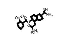 Cl.N=C(N)c1ccc2c(CC(N)=O)c(OC(=O)c3ccccc3[N+](=O)[O-])ccc2c1